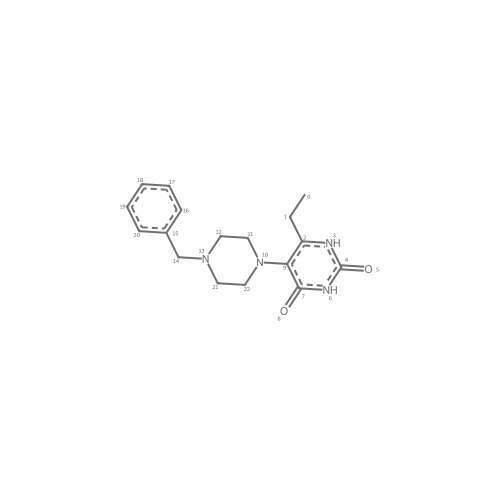 CCc1[nH]c(=O)[nH]c(=O)c1N1CCN(Cc2ccccc2)CC1